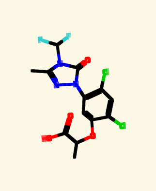 Cc1nn(-c2cc(OC(C)C(=O)O)c(Cl)cc2Cl)c(=O)n1C(F)F